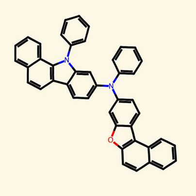 c1ccc(N(c2ccc3c(c2)oc2ccc4ccccc4c23)c2ccc3c4ccc5ccccc5c4n(-c4ccccc4)c3c2)cc1